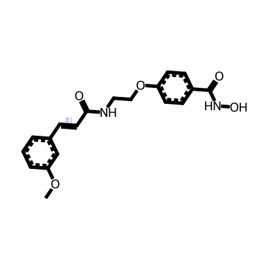 COc1cccc(/C=C/C(=O)NCCOc2ccc(C(=O)NO)cc2)c1